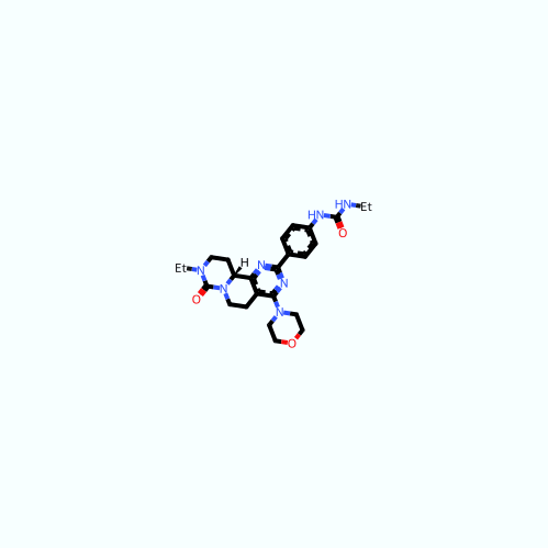 CCNC(=O)Nc1ccc(-c2nc3c(c(N4CCOCC4)n2)CCN2C(=O)N(CC)CC[C@H]32)cc1